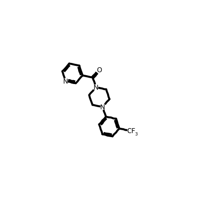 O=C(c1cccnc1)N1CCN(c2cccc(C(F)(F)F)c2)CC1